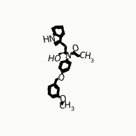 CCC(=O)N(c1ccc(OCc2cccc(OC)c2)cc1)[C@@H](CO)Cc1c[nH]c2ccccc12